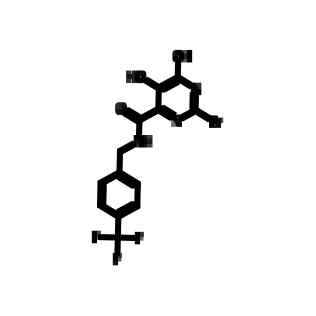 O=C(NCc1ccc(C(F)(F)F)cc1)c1nc(Br)nc(O)c1O